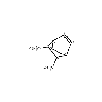 O=[C+]C1C2C=CC(C2)C1[C+]=O